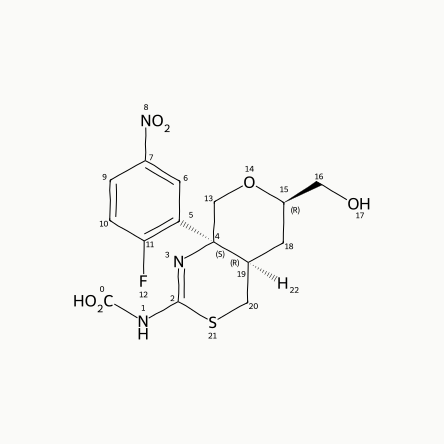 O=C(O)NC1=N[C@@]2(c3cc([N+](=O)[O-])ccc3F)CO[C@@H](CO)C[C@H]2CS1